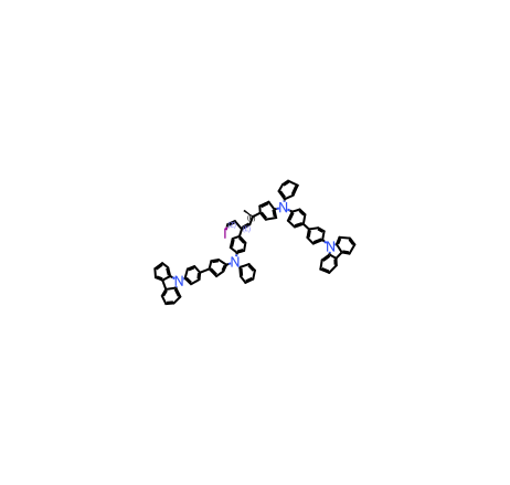 C[C@H](/C=C(\C=C/I)c1ccc(N(c2ccccc2)c2ccc(-c3ccc(-n4c5ccccc5c5ccccc54)cc3)cc2)cc1)c1ccc(N(c2ccccc2)c2ccc(-c3ccc(-n4c5ccccc5c5ccccc54)cc3)cc2)cc1